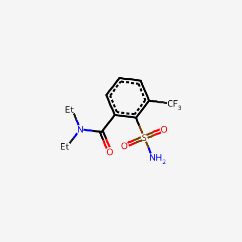 CCN(CC)C(=O)c1cccc(C(F)(F)F)c1S(N)(=O)=O